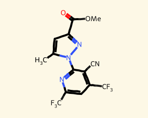 COC(=O)c1cc(C)n(-c2nc(C(F)(F)F)cc(C(F)(F)F)c2C#N)n1